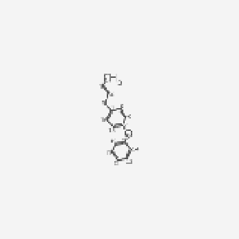 CC=CCc1ccc(Oc2ccccc2)cc1